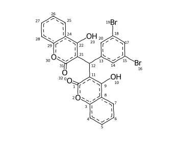 O=c1oc2ccccc2c(O)c1C(c1cc(Br)cc(Br)c1)c1c(O)c2ccccc2oc1=O